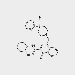 N#CC1(c2ccccn2)CCN(Cc2cc(C(=O)NC3CCCCC3O)c(=O)n3ccccc23)CC1